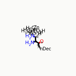 CC(=O)O.CC(=O)O.CC(=O)O.CCCCCCCCCCCC(=O)C(N)CN.[Zn]